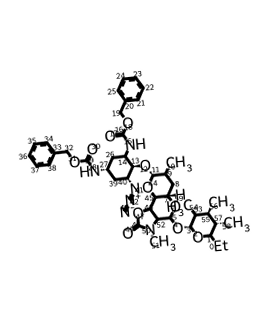 CCC1O[C@H](OC2O[C@H]3CC(C)[C@@H](O[C@@H]4C(NC(=O)OCc5ccccc5)C[C@@H](NC(=O)OCc5ccccc5)C[C@H]4N=[N+]=[N-])OC3C3OC(=O)N(C)C23)C(C)[C@@H](C)[C@@H]1C